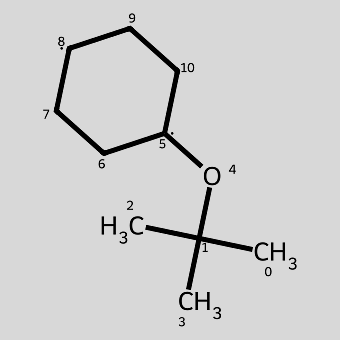 CC(C)(C)O[C]1CC[CH]CC1